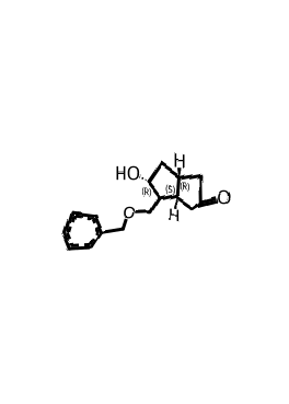 O=C1C[C@H]2C[C@@H](O)C(COCc3ccccc3)[C@H]2C1